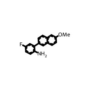 COc1ccc2cc(-c3cc(F)ccc3N)ccc2c1